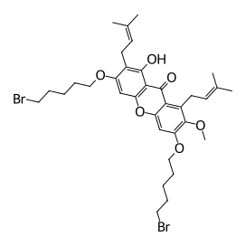 COc1c(OCCCCCBr)cc2oc3cc(OCCCCCBr)c(CC=C(C)C)c(O)c3c(=O)c2c1CC=C(C)C